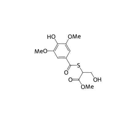 COC(=O)C(CO)SC(=O)c1cc(OC)c(O)c(OC)c1